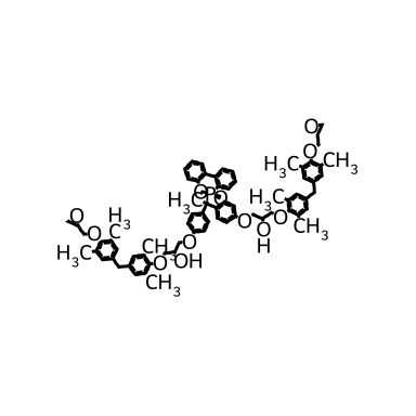 Cc1cc(Cc2cc(C)c(OCC3CO3)c(C)c2)cc(C)c1OCC(O)COc1ccc(C(C)(c2ccc(OCC(O)COc3c(C)cc(Cc4cc(C)c(OCC5CO5)c(C)c4)cc3C)cc2)P2(=O)Oc3ccccc3-c3ccccc32)cc1